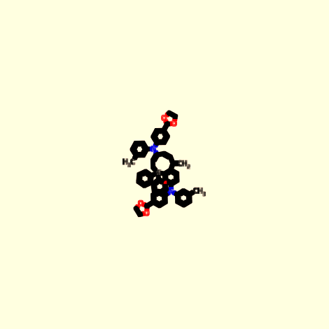 C=C1/C=C\C(N(c2ccc(C3OCCO3)cc2)c2cccc(C)c2)=C/C[Si](c2ccccc2)(c2ccccc2)c2cc(N(c3ccc(C4OCCO4)cc3)c3cccc(C)c3)ccc21